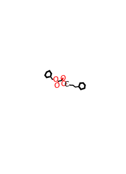 O=C(OCCCCc1ccccc1)C(=O)OCc1ccccc1